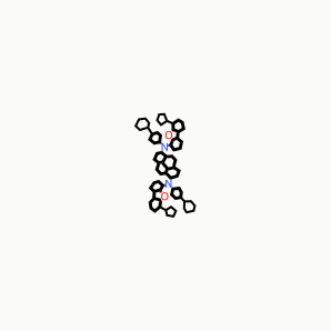 c1cc(C2CCCC2)c2oc3c(N(c4ccc(C5CCCCC5)cc4)c4ccc5ccc6c(N(c7ccc(C8CCCCC8)cc7)c7cccc8c7oc7c(C9CCCC9)cccc78)ccc7ccc4c5c76)cccc3c2c1